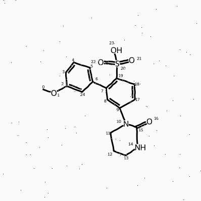 COc1cccc(-c2cc(N3CCCNC3=O)ccc2S(=O)(=O)O)c1